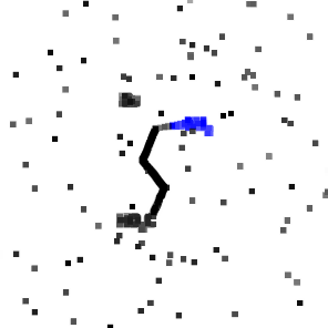 CC[C@H](C)[C@H](N)CCC(=O)O